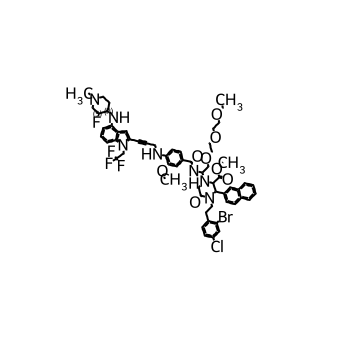 CCOCCOCCOCC(NC(=O)c1ccc(NCC#Cc2cc3c(N[C@@H]4CCN(C)C[C@@H]4F)cccc3n2CC(F)(F)F)c(OC)c1)N1CC(=O)N(CCc2ccc(Cl)cc2Br)C(c2ccc3ccccc3c2)C1C(=O)OC